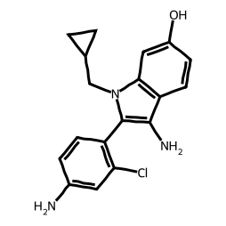 Nc1ccc(-c2c(N)c3ccc(O)cc3n2CC2CC2)c(Cl)c1